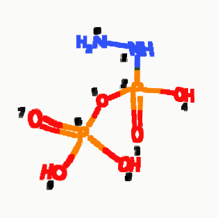 NNP(=O)(O)OP(=O)(O)O